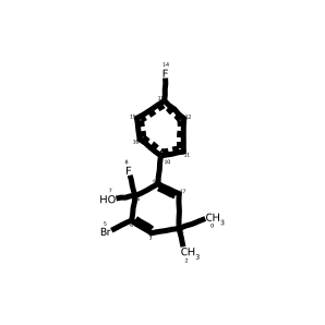 CC1(C)C=C(Br)C(O)(F)C(c2ccc(F)cc2)=C1